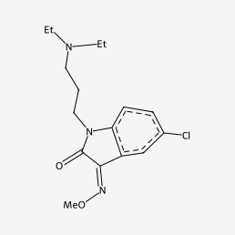 CCN(CC)CCCN1C(=O)C(=NOC)c2cc(Cl)ccc21